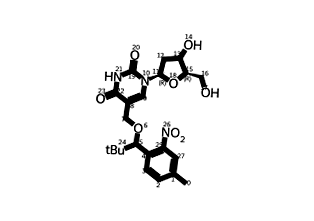 Cc1ccc(C(OCc2cn([C@H]3CC(O)[C@@H](CO)O3)c(=O)[nH]c2=O)C(C)(C)C)c([N+](=O)[O-])c1